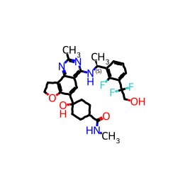 CNC(=O)C1CCC(O)(c2cc3c(N[C@@H](C)c4cccc(C(F)(F)CO)c4F)nc(C)nc3c3c2OCC3)CC1